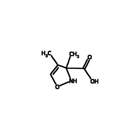 CC1=CONC1(C)C(=O)O